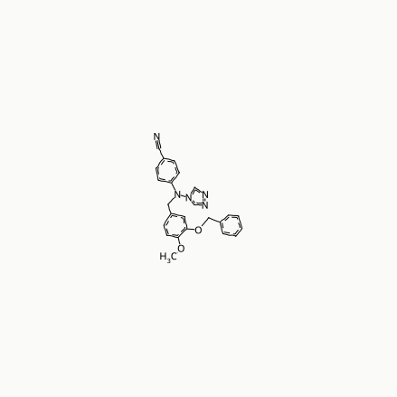 COc1ccc(CN(c2ccc(C#N)cc2)n2cnnc2)cc1OCc1ccccc1